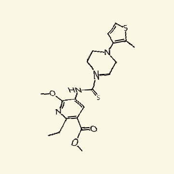 CCc1nc(OC)c(NC(=S)N2CCN(c3ccsc3C)CC2)cc1C(=O)OC